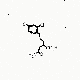 NC(=O)CC(CSCc1ccc(Cl)cc1Cl)C(=O)O